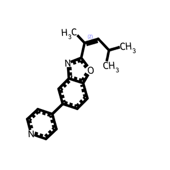 C/C(=C/C(C)C)c1nc2cc(-c3ccncc3)ccc2o1